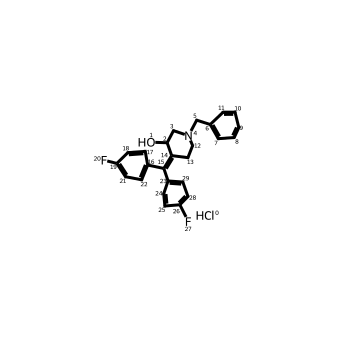 Cl.OC1CN(Cc2ccccc2)CCC1=C(c1ccc(F)cc1)c1ccc(F)cc1